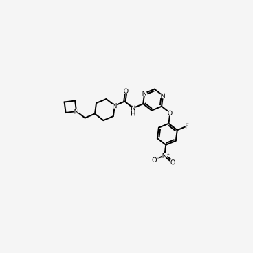 O=C(Nc1cc(Oc2ccc([N+](=O)[O-])cc2F)ncn1)N1CCC(CN2CCC2)CC1